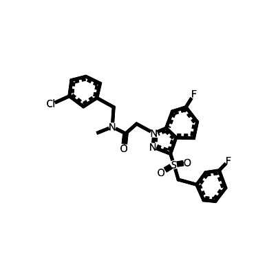 CN(Cc1cccc(Cl)c1)C(=O)Cn1nc(S(=O)(=O)Cc2cccc(F)c2)c2ccc(F)cc21